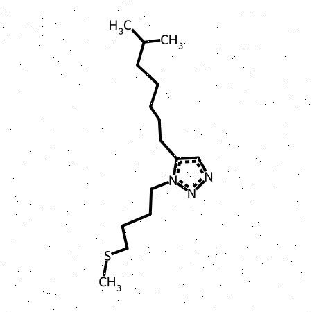 CSCCCCn1nncc1CCCCCC(C)C